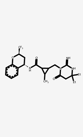 CCC1(CC)CC(=O)N(CC2C(C)C2C(=O)N[C@H]2C[C@H](C(F)(F)F)Oc3ccccc32)C(=N)N1